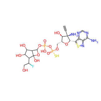 C#C[C@@]1(N)[C@H](O)[C@@H](COP(=O)(S)OP(=O)(O)OC2OC3(O)C2C(O)C(O)C3[C@@H](F)CO)O[C@H]1c1snc2c(N)ncnc12